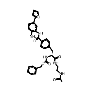 CC(=O)NCCNC(=O)[C@H](Cc1ccc(C(=O)Nc2cc(-c3ccco3)ccc2N)cc1)NC(=O)OCc1ccccc1